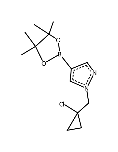 CC1(C)OB(c2cnn(CC3(Cl)CC3)c2)OC1(C)C